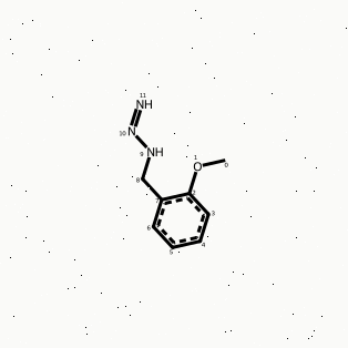 COc1ccccc1CNN=N